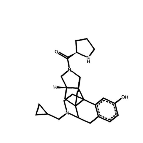 O=C([C@H]1CCCN1)N1C[C@H]2CC34CCC1C2C31CCN(CC2CC2)C4Cc2ccc(O)cc21